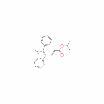 CC(C)OC(=O)C=Cc1c(-c2ccccc2)n(C)c2ccccc12